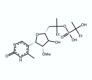 CCC(C)(C[C@H]1O[C@@H](c2cnc(=O)[nH]c2C)[C@@H](OC)C1O)OP(=O)(O)C(C)(O)CC